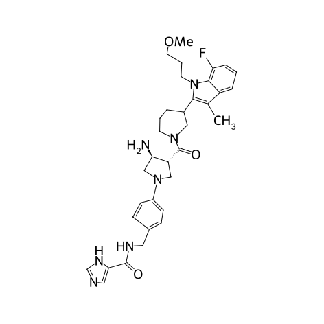 COCCCn1c(C2CCCN(C(=O)[C@@H]3CN(c4ccc(CNC(=O)c5cnc[nH]5)cc4)C[C@H]3N)C2)c(C)c2cccc(F)c21